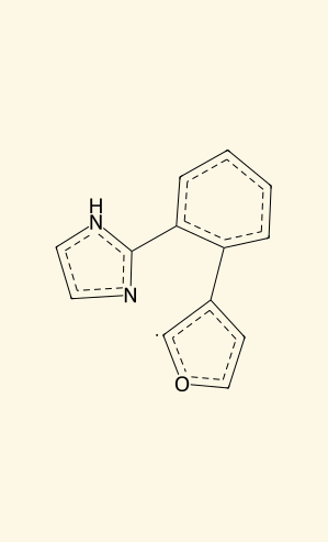 [c]1occc1-c1ccccc1-c1ncc[nH]1